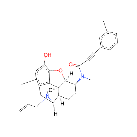 C=CCN1CC[C@]23c4c5c(C)cc(O)c4O[C@H]2[C@@H](N(C)C(=O)C#Cc2cccc(C)c2)CC[C@H]3[C@H]1C5